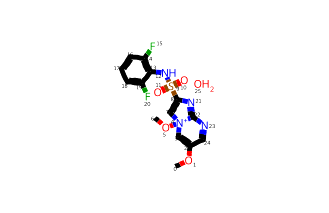 COC1=C[N+]2(OC)C=C(S(=O)(=O)Nc3c(F)cccc3F)N=C2N=C1.O